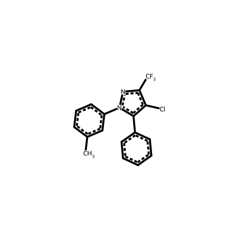 Cc1cccc(-n2nc(C(F)(F)F)c(Cl)c2-c2ccccc2)c1